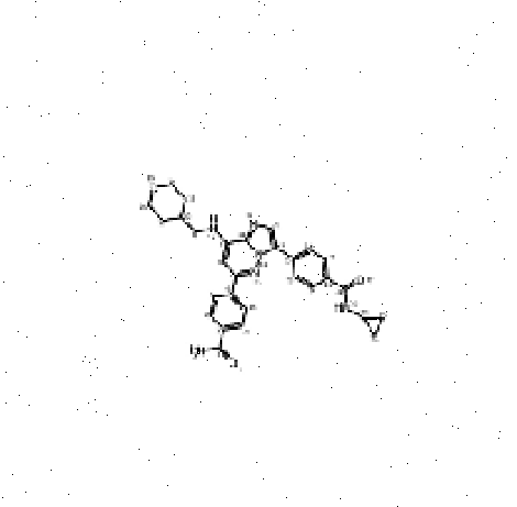 NC(=O)c1ccc(-c2cc(NCC3CCOCC3)c3ncc(-c4ccc(C(=O)NC5CC5)cc4)n3n2)cc1